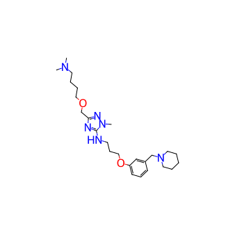 CN(C)CCCCOCc1nc(NCCCOc2cccc(CN3CCCCC3)c2)n(C)n1